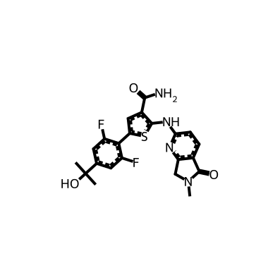 CN1Cc2nc(Nc3sc(-c4c(F)cc(C(C)(C)O)cc4F)cc3C(N)=O)ccc2C1=O